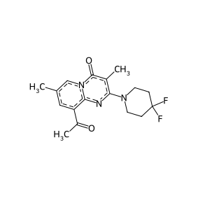 CC(=O)c1cc(C)cn2c(=O)c(C)c(N3CCC(F)(F)CC3)nc12